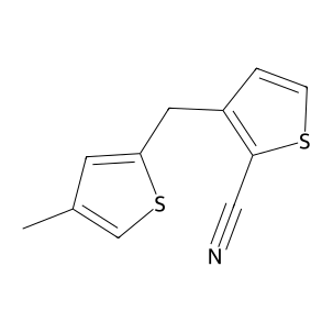 Cc1csc(Cc2ccsc2C#N)c1